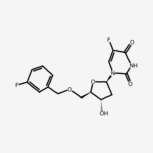 O=c1[nH]c(=O)n([C@H]2C[C@H](O)[C@@H](COCc3cccc(F)c3)O2)cc1F